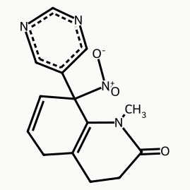 CN1C(=O)CCC2=C1C(c1cncnc1)([N+](=O)[O-])C=CC2